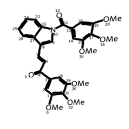 COc1cc(C(=O)C=Cc2cn(C(=O)c3cc(OC)c(OC)c(OC)c3)c3ccccc23)cc(OC)c1OC